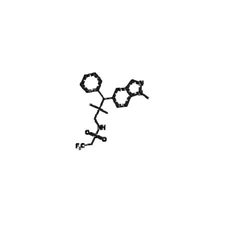 Cn1ncc2cc(C(c3ccccc3)C(C)(C)CNS(=O)(=O)CC(F)(F)F)ccc21